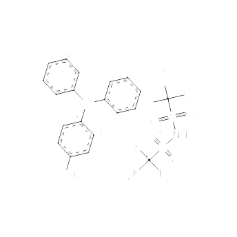 Cc1ccc([S+](c2ccccc2)c2ccccc2)cc1.O=S(=O)(NS(=O)(=O)C(F)(F)F)C(F)(F)F